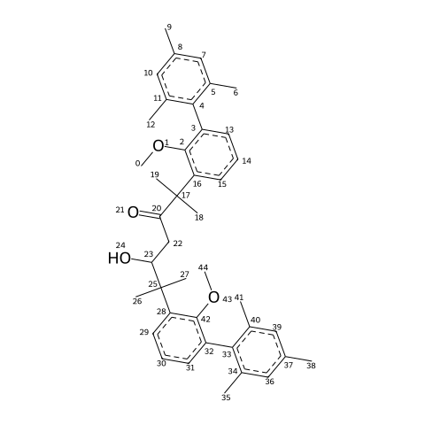 COc1c(-c2c(C)cc(C)cc2C)cccc1C(C)(C)C(=O)CC(O)C(C)(C)c1cccc(-c2c(C)cc(C)cc2C)c1OC